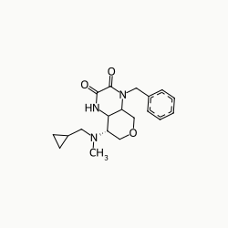 CN(CC1CC1)[C@H]1COCC2C1NC(=O)C(=O)N2Cc1ccccc1